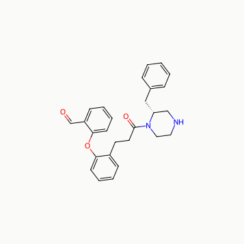 O=Cc1ccccc1Oc1ccccc1CCC(=O)N1CCNC[C@H]1Cc1ccccc1